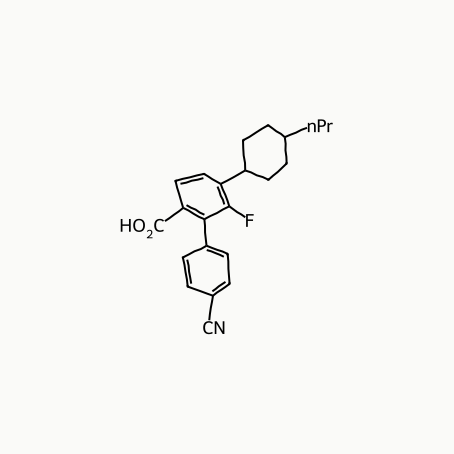 CCCC1CCC(c2ccc(C(=O)O)c(-c3ccc(C#N)cc3)c2F)CC1